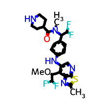 COC(c1c(Nc2ccc(C(C(F)F)N(C)C(=O)C3CCNCC3)cc2)cnc2sc(C)nc12)C(F)F